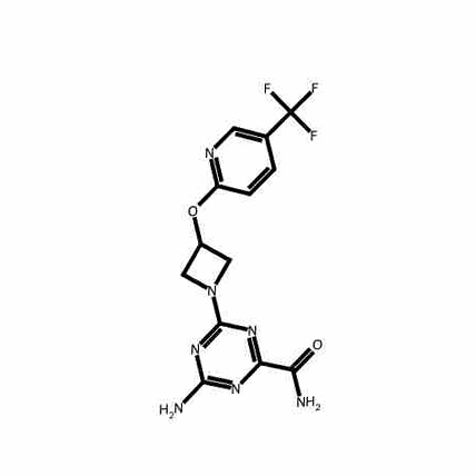 NC(=O)c1nc(N)nc(N2CC(Oc3ccc(C(F)(F)F)cn3)C2)n1